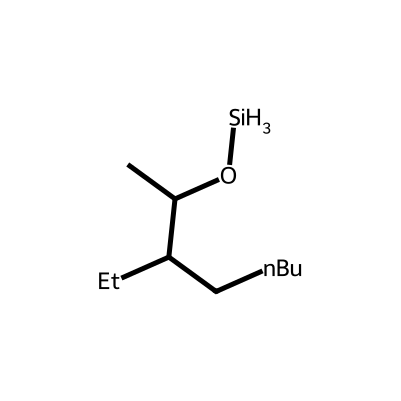 CCCCCC(CC)C(C)O[SiH3]